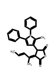 CC=C/C(C)=C1/C(=O)OC(=O)C1c1cc(-c2ccccc2)n(-c2ccccc2)c1C